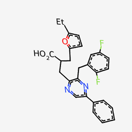 CCc1ccc(CC(Cc2ncc(-c3ccccc3)nc2Cc2cc(F)ccc2F)C(=O)O)o1